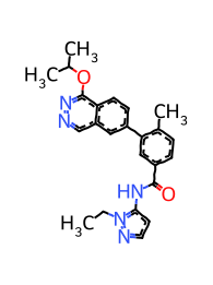 CCn1nccc1NC(=O)c1ccc(C)c(-c2ccc3c(OC(C)C)nncc3c2)c1